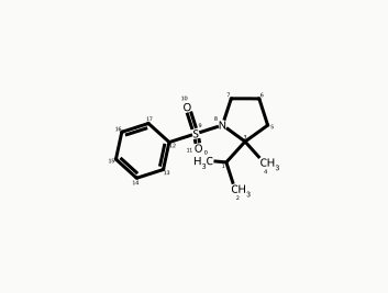 CC(C)C1(C)CCCN1S(=O)(=O)c1ccccc1